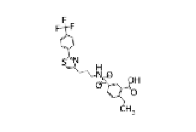 CCc1ccc(S(=O)(=O)NCCCc2csc(-c3ccc(C(F)(F)F)cc3)n2)cc1C(=O)O